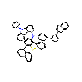 c1ccc(-n2c3ccccc3c3c(N(c4ccc(-c5cccc(-c6ccc7ccccc7c6)c5)cc4)c4ccc(-c5cccc6ccccc56)c5sc6ccccc6c45)cccc32)cc1